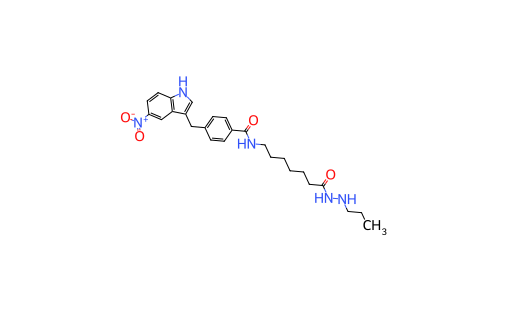 CCCNNC(=O)CCCCCCNC(=O)c1ccc(Cc2c[nH]c3ccc([N+](=O)[O-])cc23)cc1